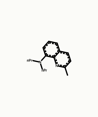 CCCN(CCC)c1cccc2ccc(C)nc12